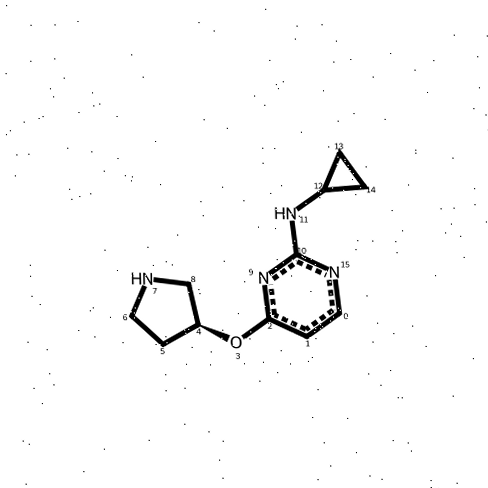 c1cc(O[C@H]2CCNC2)nc(NC2CC2)n1